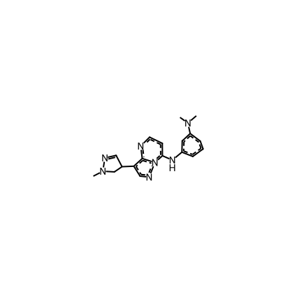 CN1CC(c2cnn3c(Nc4cccc(N(C)C)c4)ccnc23)C=N1